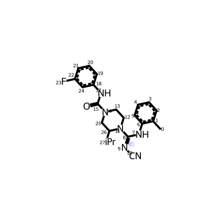 Cc1ccccc1N/C(=N\C#N)N1CCN(C(=O)Nc2cccc(F)c2)CC1C(C)C